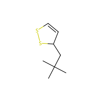 CC(C)(C)CC1C=CSS1